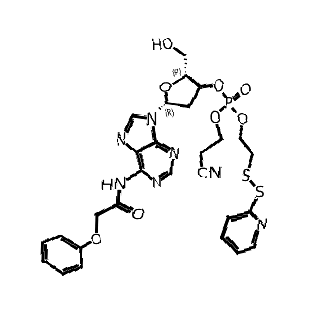 N#CCCOP(=O)(OCCSSc1ccccn1)OC1C[C@H](n2cnc3c(NC(=O)COc4ccccc4)ncnc32)O[C@@H]1CO